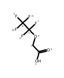 O=C(O)COC(F)(F)C(F)(F)F